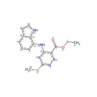 CCOC(=O)c1nnc(SC)nc1Nc1cccc2cc[nH]c12